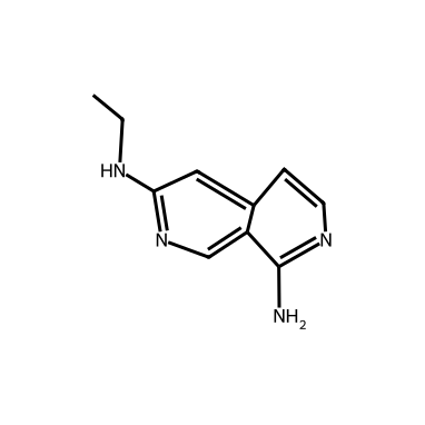 CCNc1cc2ccnc(N)c2cn1